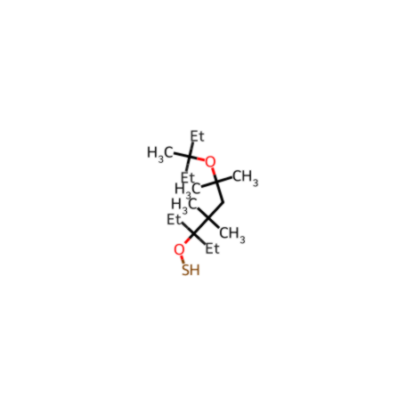 CCC(C)(CC)OC(C)(C)CC(C)(C)C(CC)(CC)OS